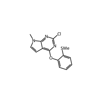 CSc1ccccc1Oc1nc(Cl)nc2c1ccn2C